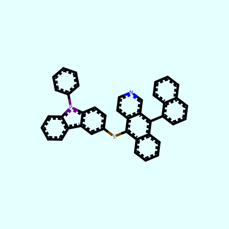 c1ccc(-p2c3ccccc3c3cc(Sc4c5ccccc5c(-c5cccc6ccccc56)c5cnccc45)ccc32)cc1